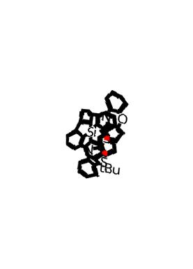 CC(C)(C)c1ccc2c(c1)Sc1ccccc1[Si]21c2c(cccc2N2c3ccccc3Oc3ccccc32)-c2cccc(N3c4ccccc4Sc4ccccc43)c21